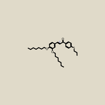 CCCCCCCOc1ccc(/C=C/C(=O)c2ccc(SCCC)cc2)cc1OCCCCCCC